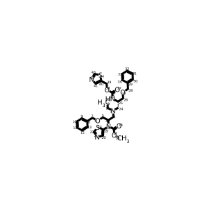 CCN(CC(COCc1ccccc1)N(C(=O)OC)c1cncs1)C[C@@H](COCc1ccccc1)NC(=O)OCc1cncs1